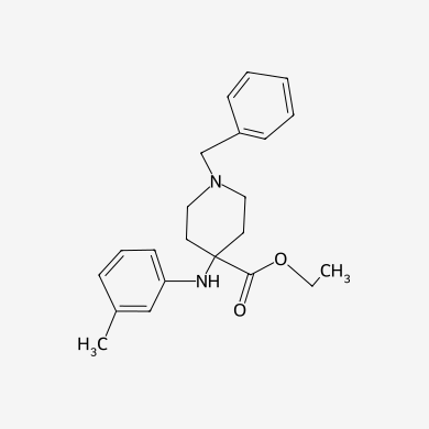 CCOC(=O)C1(Nc2cccc(C)c2)CCN(Cc2ccccc2)CC1